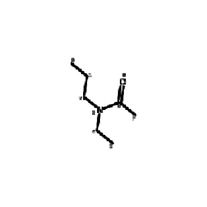 CC[CH]N(CC)C(C)=O